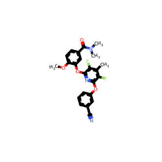 COc1ccc(C(=O)N(C)C)cc1Oc1nc(Oc2cccc(C#N)c2)c(F)c(C)c1F